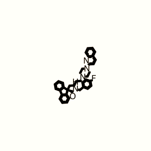 O=C(NCc1ccc(F)cc1)C1(CCCCN2CCN(c3ccc4ccccc4n3)CC2)c2ccccc2-c2ccccc21